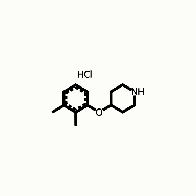 Cc1cccc(OC2CCNCC2)c1C.Cl